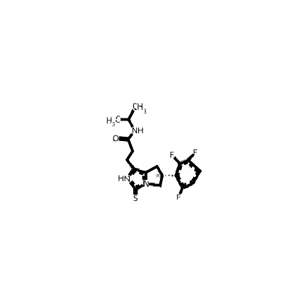 CC(C)NC(=O)CCc1[nH]c(=S)n2c1C[C@H](c1c(F)ccc(F)c1F)C2